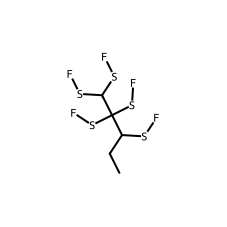 CCC(SF)C(SF)(SF)[C](SF)SF